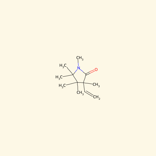 C=CC1(C)C(=O)N(C)C(C)(C)C1(C)C